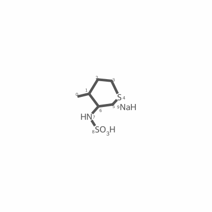 CC1CCSCC1NS(=O)(=O)O.[NaH]